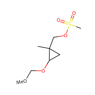 COCOC1CC1(C)COS(C)(=O)=O